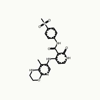 Cc1c(Nc2cc[nH]c(=O)c2C(=O)Nc2ccc(S(C)(=O)=O)cc2)cnc2c1NCCO2